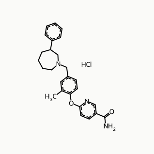 Cc1cc(CN2CCCCC(c3ccccc3)C2)ccc1Oc1ccc(C(N)=O)cn1.Cl